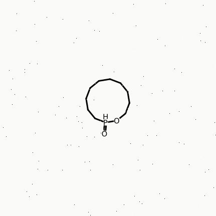 O=[PH]1CCCCCCCCCCO1